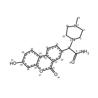 CN1CCN(C(C(N)=O)c2ccc3c(c2)c(=O)oc2cc(O)ccc23)CC1